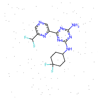 Nc1nc(NC2CCC(F)(F)CC2)nc(-c2cncc(C(F)F)n2)n1